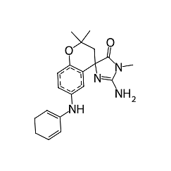 CN1C(=O)C2(CC(C)(C)Oc3ccc(NC4=CCCC=C4)cc32)N=C1N